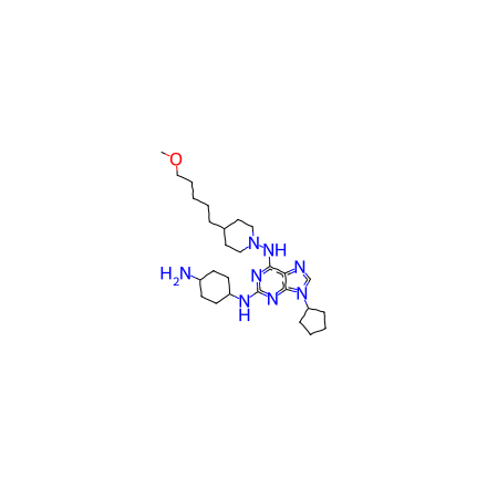 COCCCCCC1CCN(Nc2nc(NC3CCC(N)CC3)nc3c2ncn3C2CCCC2)CC1